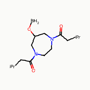 BOC1CN(C(=O)CC(C)C)CCN(C(=O)CC(C)C)C1